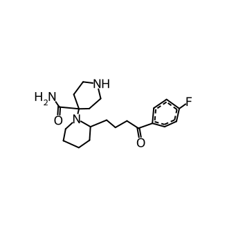 NC(=O)C1(N2CCCCC2CCCC(=O)c2ccc(F)cc2)CCNCC1